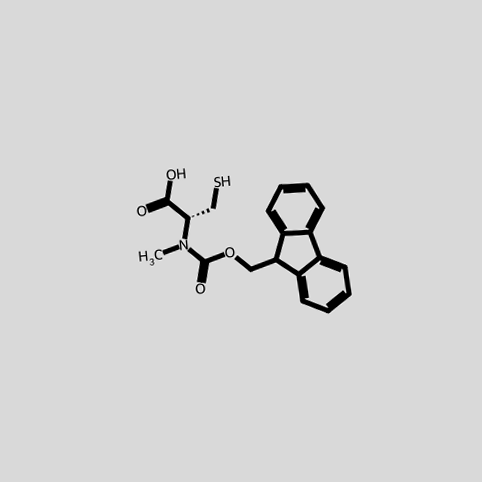 CN(C(=O)OCC1c2ccccc2-c2ccccc21)[C@@H](CS)C(=O)O